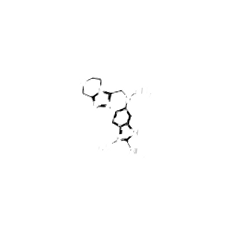 CN(Cc1nnc2n1CCOC2)c1ccc2c(c1)nc(N)n2C